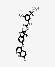 CC(C)(NC(=O)O)c1cc(NC(=O)N[C@@H]2[C@H]3Oc4ccc(Oc5ccnc6c5CCC(=O)N6)cc4[C@@H]23)cc(C(F)(F)F)c1